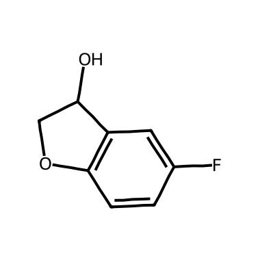 OC1COc2ccc(F)cc21